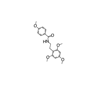 COc1ccc(C(=O)NCCc2c(OC)cc(OC)cc2OC)cc1